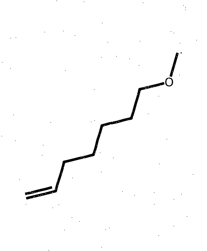 [CH2]OCCCCCC=C